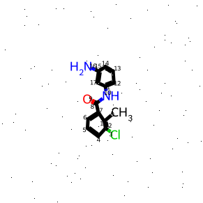 Cc1c(Cl)cccc1C(=O)Nc1cccc(N)c1